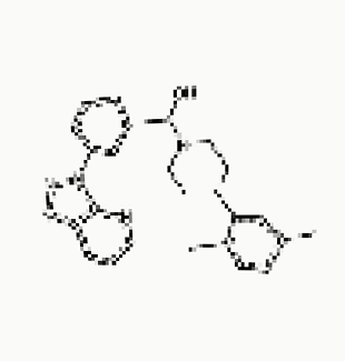 Cc1ccc(C)c(N2CCN(C(O)c3cccc(-n4nnc5cccnc54)c3)CC2)c1